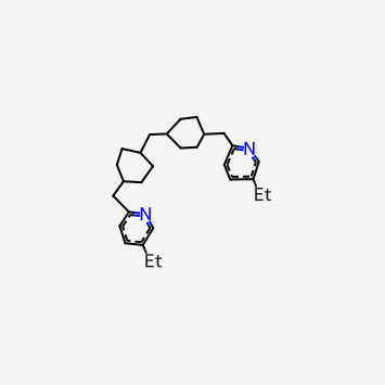 CCc1ccc(CC2CCC(CC3CCC(Cc4ccc(CC)cn4)CC3)CC2)nc1